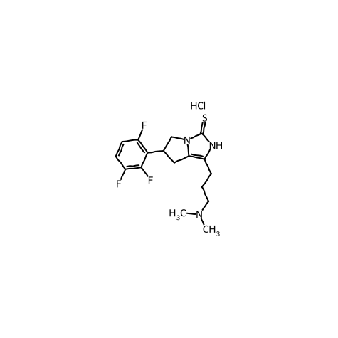 CN(C)CCCc1[nH]c(=S)n2c1CC(c1c(F)ccc(F)c1F)C2.Cl